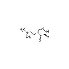 CN(C)CCn1[c]n[nH]c(=O)c1=O